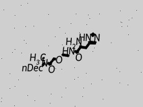 CCCCCCCCCCN(C)C(=O)COCCNC(=O)C(N)Cc1cnc[nH]1